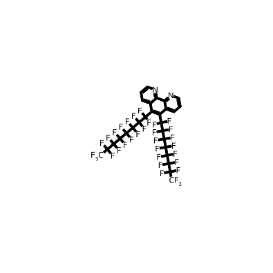 FC(F)(F)C(F)(F)C(F)(F)C(F)(F)C(F)(F)C(F)(F)C(F)(F)C(F)(F)c1c(C(F)(F)C(F)(F)C(F)(F)C(F)(F)C(F)(F)C(F)(F)C(F)(F)C(F)(F)F)c2cccnc2c2ncccc12